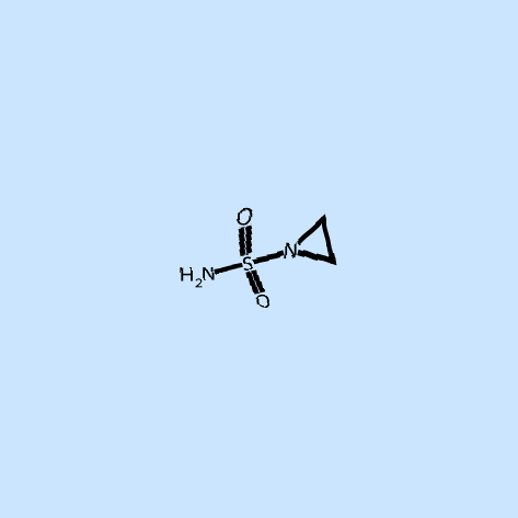 NS(=O)(=O)N1CC1